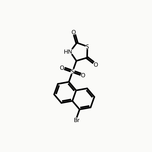 O=C1NC(S(=O)(=O)c2cccc3c(Br)cccc23)C(=O)S1